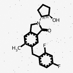 Cc1cc2c(cc1Cc1ccc(F)cc1F)C(=O)N([C@@H]1CCC[C@H]1O)C2